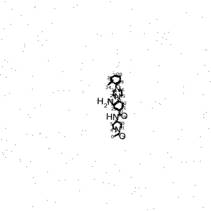 CC(=O)N1CCC(NC(=O)c2ccc(N3CCN(c4ccccc4C)CC3)c(N)c2)CC1